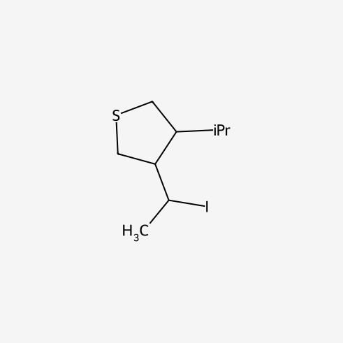 CC(C)C1CSCC1C(C)I